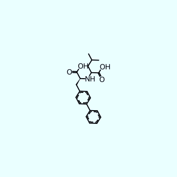 CC(C)CC(N[C@@H](Cc1ccc(-c2ccccc2)cc1)C(=O)O)C(=O)O